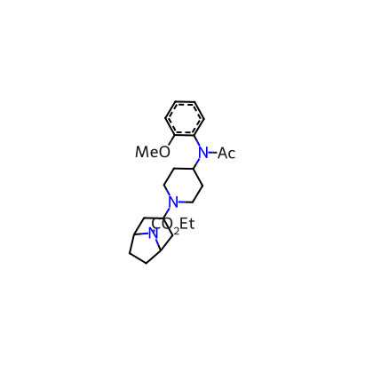 CCOC(=O)N1C2CCC1CC(N1CCC(N(C(C)=O)c3ccccc3OC)CC1)C2